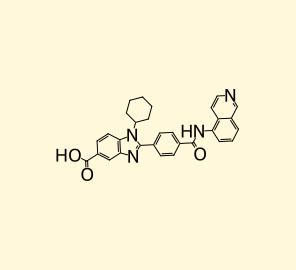 O=C(O)c1ccc2c(c1)nc(-c1ccc(C(=O)Nc3cccc4cnccc34)cc1)n2C1CCCCC1